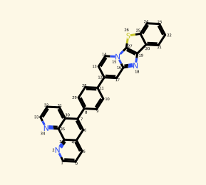 c1cnc2c(c1)cc(-c1ccc(-c3ccn4c(c3)nc3c5ccccc5sc34)cc1)c1cccnc12